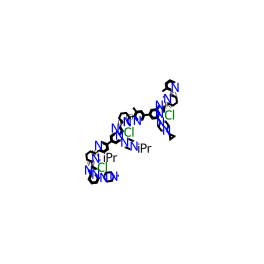 Cc1cc(-c2cc(N3CCN(C4CC4)CC3)n3c(Cl)c([C@H]4CCC[C@@H](c5ncccc5C)N4C)nc3c2)cnc1[C@@H]1CCC[C@H](c2nc3cc(-c4cnc([C@@H]5CCC[C@H](c6nc7cccc(N8CCN(C)CC8)n7c6Cl)N5C)c(C(C)C)c4)cc(N4CCN(C(C)C)CC4)n3c2Cl)N1C